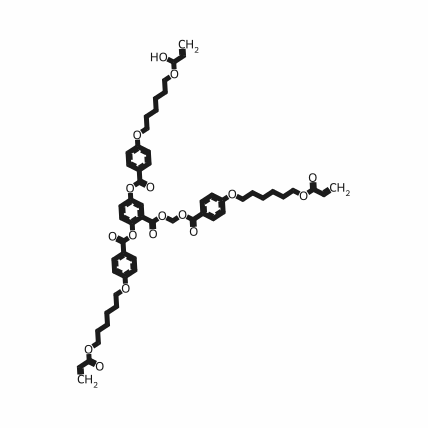 C=CC(=O)OCCCCCCOc1ccc(C(=O)OCOC(=O)c2cc(OC(=O)c3ccc(OCCCCCCOC(O)C=C)cc3)ccc2OC(=O)c2ccc(OCCCCCCOC(=O)C=C)cc2)cc1